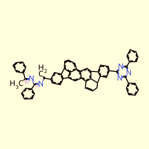 C=C(/N=C(\N=C(/C)c1ccccc1)c1ccccc1)c1ccc2c(c1)-c1cccc3c1c-2cc1c2c4c(cc13)-c1ccc(-c3nc(-c5ccccc5)nc(-c5ccccc5)n3)cc1C4CC=C2